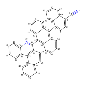 N#Cc1ccc(-c2c3ccccc3c(-c3nc4ccccc4c4c3ccc3ccccc34)c3ccccc23)c2ccccc12